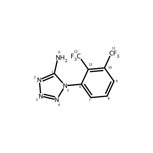 Nc1nnnn1-c1cccc(C(F)(F)F)c1C(F)(F)F